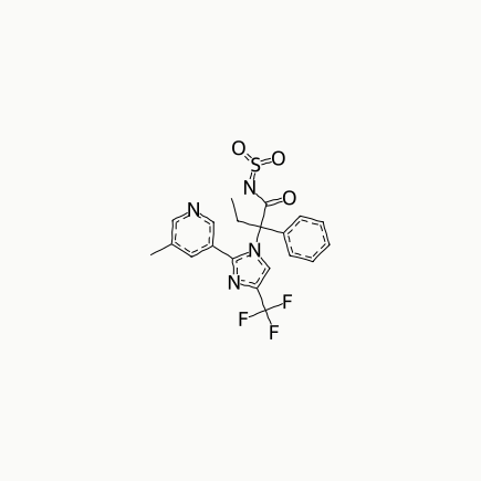 CCC(C(=O)N=S(=O)=O)(c1ccccc1)n1cc(C(F)(F)F)nc1-c1cncc(C)c1